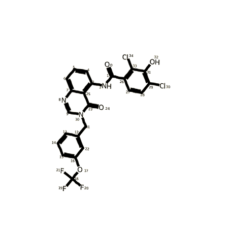 O=C(Nc1cccc2ncn(Cc3cccc(OC(F)(F)F)c3)c(=O)c12)c1ccc(Cl)c(O)c1Cl